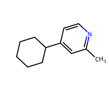 Cc1cc(C2CCCCC2)ccn1